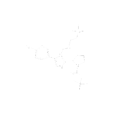 CC(C)(C)OC(=O)N1CCC[C@H]1c1ncc(-c2ccc(Br)cc2)n1COCC[Si](C)(C)C